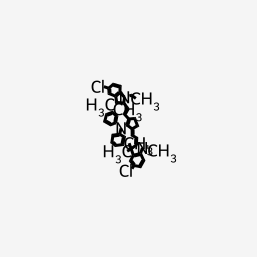 CCN1/C(=C/C=C2\CCC(/C=C/C3N(CC)c4ccc(Cl)cc4C3(C)C)=C2N(c2ccccc2)c2ccccc2)C(C)(C)c2cc(Cl)ccc21